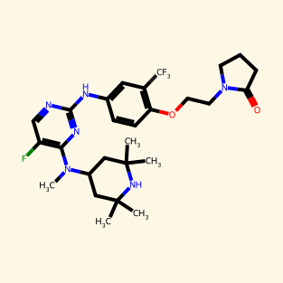 CN(c1nc(Nc2ccc(OCCN3CCCC3=O)c(C(F)(F)F)c2)ncc1F)C1CC(C)(C)NC(C)(C)C1